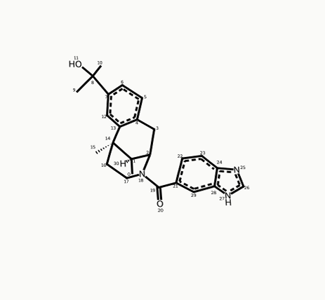 C[C@@H]1C2Cc3ccc(C(C)(C)O)cc3[C@]1(C)CCN2C(=O)c1ccc2nc[nH]c2c1